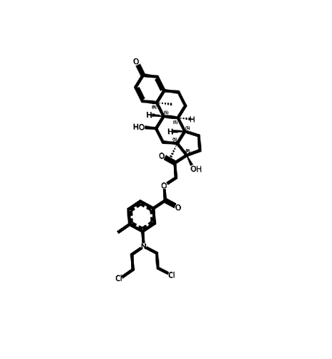 Cc1ccc(C(=O)OCC(=O)[C@@]2(O)CC[C@H]3[C@@H]4CCC5=CC(=O)C=C[C@]5(C)[C@H]4C(O)C[C@@]32C)cc1N(CCCl)CCCl